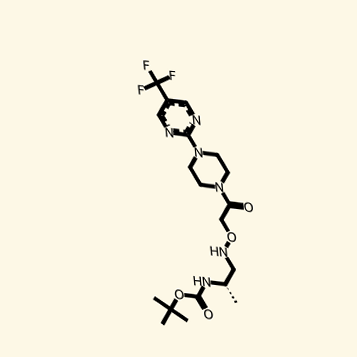 C[C@@H](CNOCC(=O)N1CCN(c2ncc(C(F)(F)F)cn2)CC1)NC(=O)OC(C)(C)C